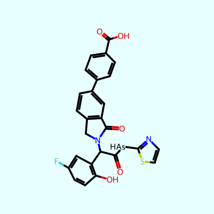 O=C(O)c1ccc(-c2ccc3c(c2)C(=O)N(C(C(=O)[AsH]c2nccs2)c2cc(F)ccc2O)C3)cc1